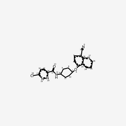 N#Cc1ccc(OC2CCC(NC(=O)c3ccc(Cl)nn3)CC2)c2cccnc12